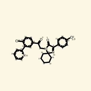 O=C(CN1C(=O)C(c2ccc(C(F)(F)F)cc2)=NC12CCCCC2)c1ccc(Cl)c(-c2ccccn2)c1